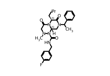 CC(C)C[C@H]1C(=O)N(C(C)c2ccccc2)C[C@H]2N1C(=O)CN(C)N2C(=O)NCc1ccc(F)cc1